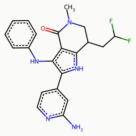 CN1CC(CC(F)F)c2[nH]c(-c3ccnc(N)c3)c(Nc3ccccc3)c2C1=O